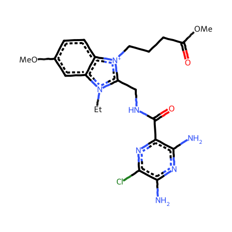 CCn1c(CNC(=O)c2nc(Cl)c(N)nc2N)[n+](CCCC(=O)OC)c2ccc(OC)cc21